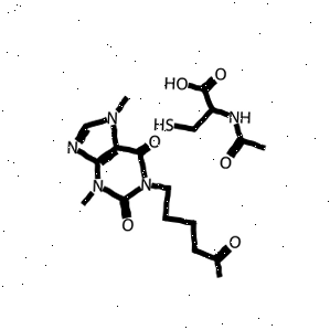 CC(=O)CCCCn1c(=O)c2c(ncn2C)n(C)c1=O.CC(=O)NC(CS)C(=O)O